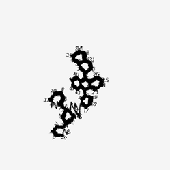 c1ccc(-c2cc(-c3ccccn3)c3nn(-c4cccc(-c5c6ccccc6c(-c6ccc7ccccc7c6)c6ccccc56)c4)nc3c2)nc1